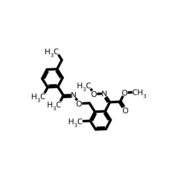 CCc1ccc(C)c(/C(C)=N/OCc2c(C)cccc2/C(=N\OC)C(=O)OC)c1